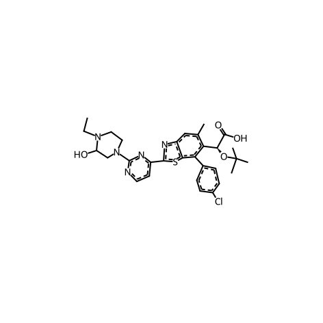 CCN1CCN(c2nccc(-c3nc4cc(C)c([C@H](OC(C)(C)C)C(=O)O)c(-c5ccc(Cl)cc5)c4s3)n2)CC1O